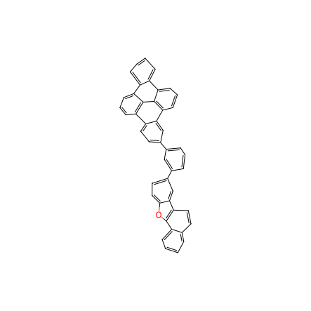 c1cc(-c2ccc3oc4c5ccccc5ccc4c3c2)cc(-c2ccc3c(c2)c2cccc4c5ccccc5c5cccc3c5c42)c1